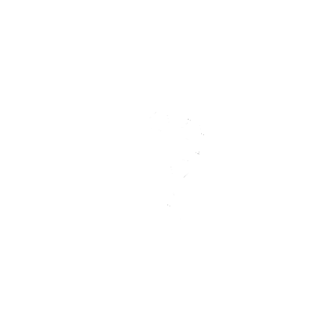 CCOc1cccc(-c2cc(Nc3cccc(CS(=O)(=O)N(C)C)c3)ncn2)c1